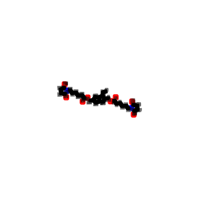 CCC1C(COC(=O)CCCCCN2C(=O)C=CC2=O)CC2CC(COC(=O)CCCCCN3C(=O)C=CC3=O)CC21